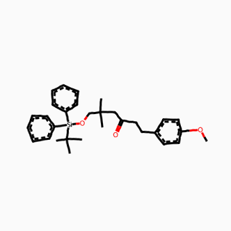 COc1ccc(CCC(=O)CC(C)(C)CO[Si](c2ccccc2)(c2ccccc2)C(C)(C)C)cc1